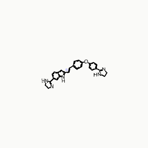 C(=C\c1cc2ccc(C3=NCCN3)cc2[nH]1)/c1ccc(Oc2ccc(C3=NCCN3)cc2)cc1